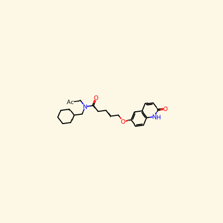 CC(=O)CN(CC1CCCCC1)C(=O)CCCCOc1ccc2[nH]c(=O)ccc2c1